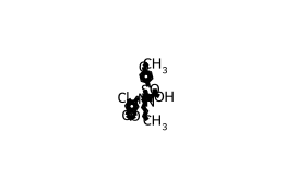 CCCCc1nc(C(=O)O)c(SCc2ccc(OC)cc2)n1Cc1cc2c(cc1Cl)OCO2